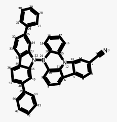 N#Cc1ccc2c3cccc4c3n(c2c1)-c1ccccc1B4n1c2cc(-c3ccccc3)ccc2c2ccc(-c3ccccc3)cc21